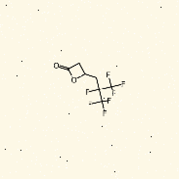 O=C1CC(CC(F)(C(F)(F)F)C(F)(F)F)O1